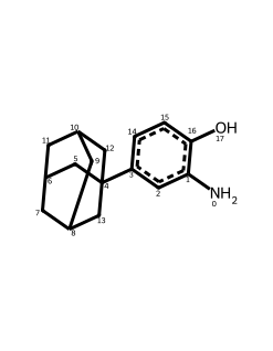 Nc1cc(C23CC4CC(CC(C4)C2)C3)ccc1O